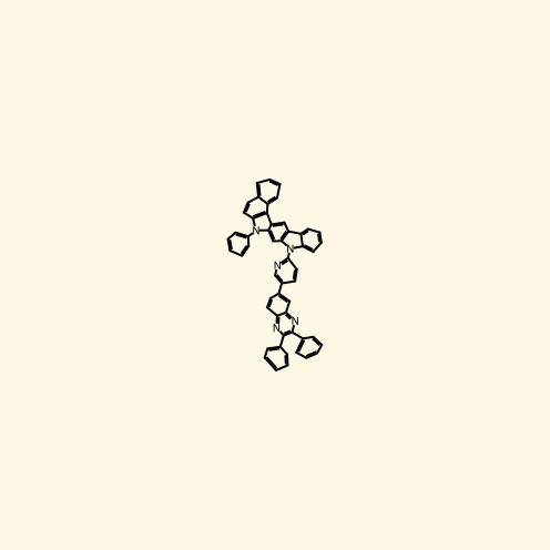 c1ccc(-c2nc3ccc(-c4ccc(-n5c6ccccc6c6cc7c8c9ccccc9ccc8n(-c8ccccc8)c7cc65)nc4)cc3nc2-c2ccccc2)cc1